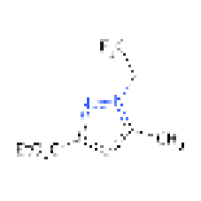 CCOC(=O)c1cc(C)n(CC(F)(F)F)n1